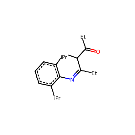 CCC(=O)C(C)/C(CC)=N\c1c(C(C)C)cccc1C(C)C